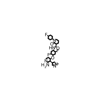 Cn1cc(-c2c(Oc3cc(F)c(NC(=O)c4cccn(-c5ccc(F)cc5)c4=O)cc3F)ccnc2N)cn1